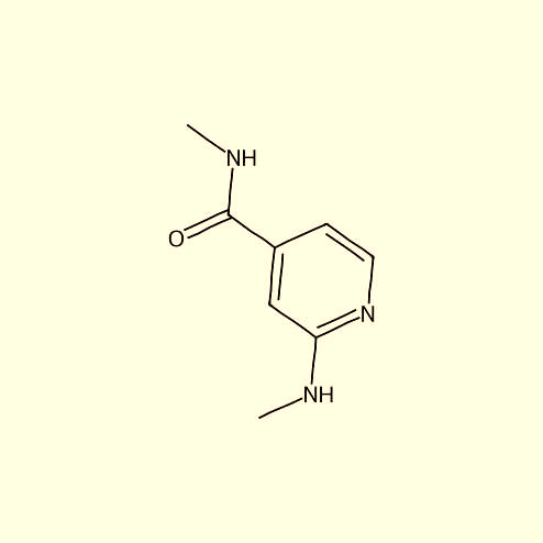 CNC(=O)c1ccnc(NC)c1